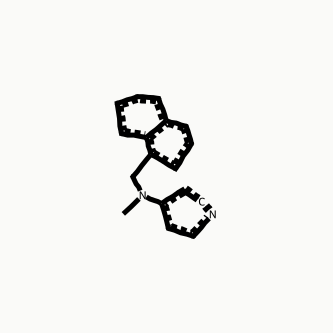 CN(Cc1cccc2ccccc12)c1ccncc1